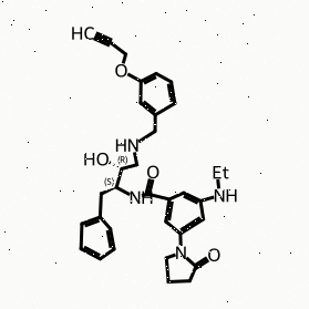 C#CCOc1cccc(CNC[C@@H](O)[C@H](Cc2ccccc2)NC(=O)c2cc(NCC)cc(N3CCCC3=O)c2)c1